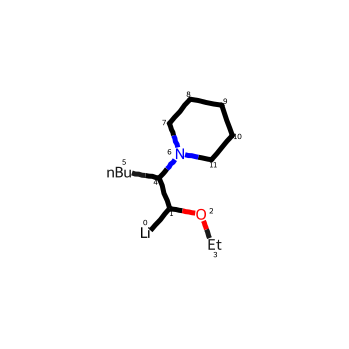 [Li][CH](OCC)C(CCCC)N1CCCCC1